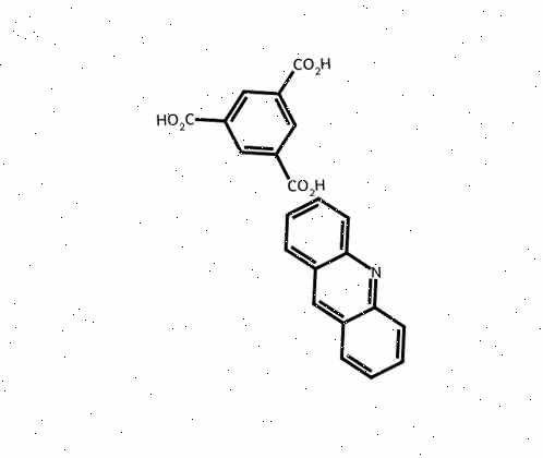 O=C(O)c1cc(C(=O)O)cc(C(=O)O)c1.c1ccc2nc3ccccc3cc2c1